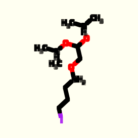 C[SiH](C)OC(CO[SiH2]CCCI)O[SiH](C)C